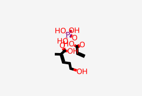 C=CC(=O)O.CC(=CCCO)C(=O)O.O=P(O)(O)O